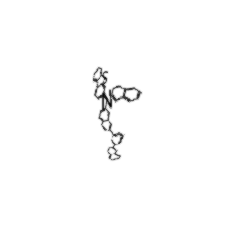 c1cc(-c2ccc3ccccc3c2)cc(-c2ccc3ccc(N(c4ccc5ccccc5c4)c4ccc5c(c4)sc4ccccc45)cc3c2)c1